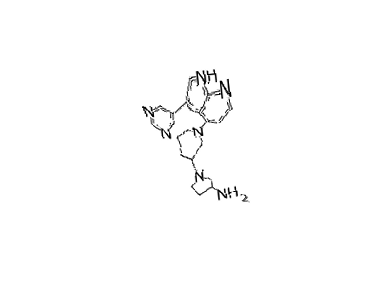 NC1CCN(C2CCCN(c3ccnc4[nH]cc(-c5cncnc5)c34)C2)C1